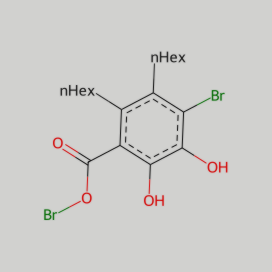 CCCCCCc1c(Br)c(O)c(O)c(C(=O)OBr)c1CCCCCC